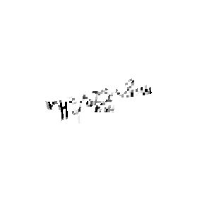 COC(=O)CCc1ccc(OCC(O)CNC(C)C)cc1.[NaH]